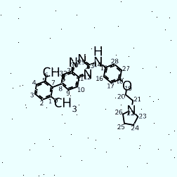 Cc1cccc(C)c1-c1ccc2nc(Nc3ccc(OCCN4CCCC4)cc3)nnc2c1